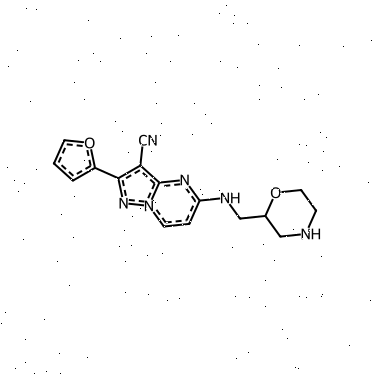 N#Cc1c(-c2ccco2)nn2ccc(NCC3CNCCO3)nc12